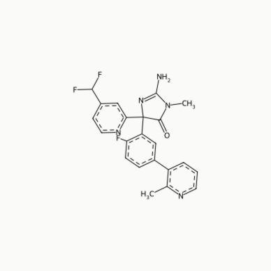 Cc1ncccc1-c1ccc(F)c(C2(c3cc(C(F)F)ccn3)N=C(N)N(C)C2=O)c1